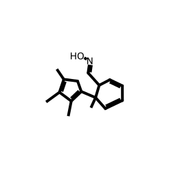 CC1=C(C)C(C)=C(C2(C)C=CC=CC2C=NO)C1